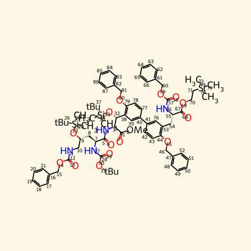 COC(=O)[C@@H](NC(=O)[C@H](C[C@H](CNC(=O)OCc1ccccc1)O[Si](C)(C)C(C)(C)C)NC(=O)OC(C)(C)C)[C@H](O[Si](C)(C)C(C)(C)C)c1cc(-c2ccc(OCc3ccccc3)c(C[C@H](NC(=O)OCc3ccccc3)C(=O)OCC[Si](C)(C)C)c2)ccc1OCc1ccccc1